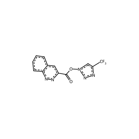 O=C(On1cc(C(F)(F)F)nn1)c1cc2ccccc2nn1